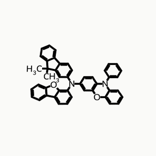 CC1(C)c2ccccc2-c2ccc(N(c3ccc4c(c3)Oc3ccccc3N4c3ccccc3)c3cccc4c3oc3ccccc34)cc21